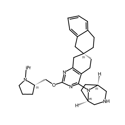 CC(C)N1CCC[C@H]1COc1nc2c(c(N3[C@@H]4CC[C@H]3CNC4)n1)CC[C@]1(CCc3ccccc3C1)C2